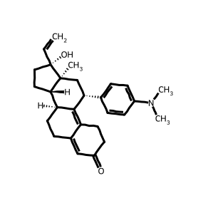 C=C[C@]1(O)CC[C@H]2[C@@H]3CCC4=CC(=O)CCC4=C3[C@@H](c3ccc(N(C)C)cc3)C[C@@]21C